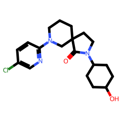 O=C1N(C2CCC(O)CC2)CCC12CCCN(c1ccc(Cl)cn1)C2